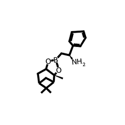 CC1(C)C2CC3OB(C[C@H](N)c4ccccc4)O[C@]3(C)C1C2